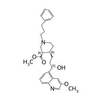 COC(=O)[C@H]1CN(CCCc2ccccc2)CC[C@H]1CC[C@H](O)c1cccc2ncc(OC)cc12